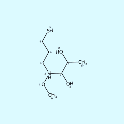 CO[SiH](CCCS)C(O)C(C)O